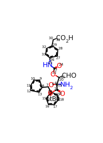 CC(C)(C)OC(=O)[C@](N)(OC(c1ccccc1)c1ccccc1)C(C=O)OC(=O)Nc1ccc(CC(=O)O)cc1